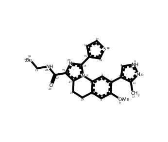 COc1cc2c(cc1-c1c[nH]nc1C)-n1c(-c3ccsc3)nc(C(=O)NCC(C)(C)C)c1CC2